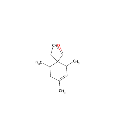 CCC1(C=O)C(C)C=C(C)CC1C